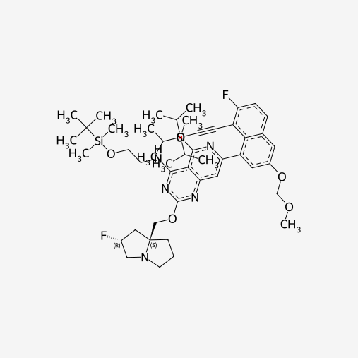 COCOc1cc(-c2cc3nc(OC[C@@]45CCCN4C[C@H](F)C5)nc(NCCO[Si](C)(C)C(C)(C)C)c3c(OC)n2)c2c(C#C[Si](C(C)C)(C(C)C)C(C)C)c(F)ccc2c1